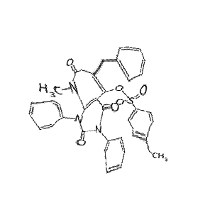 Cc1ccc(S(=O)(=O)Oc2c(Cc3ccccc3)c(=O)n(C)c3c2c(=O)n(-c2ccccc2)c(=O)n3-c2ccccc2)cc1